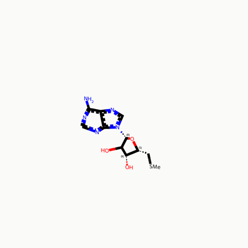 CSC[C@H]1O[C@@H](n2cnc3c(N)ncnc32)C(O)[C@H]1O